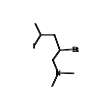 CCC(CC(C)I)CN(C)C